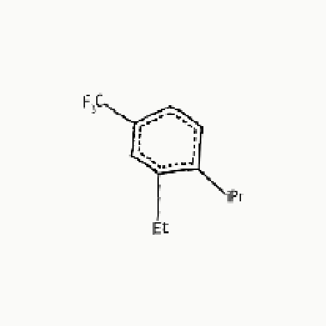 CCc1cc(C(F)(F)F)ccc1C(C)C